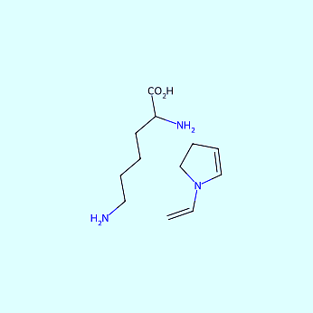 C=CN1C=CCC1.NCCCCC(N)C(=O)O